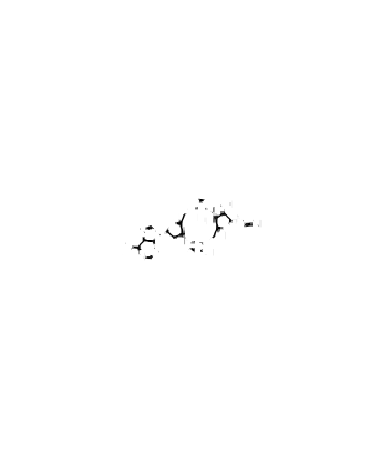 N=CN[C@@H]1O[C@@H]2COP(=O)(S)N[C@H]3C[C@H](N4C=NC5C(N)=NC=NC54)O[C@@H]3CO[PH](=O)N[C@H]2[C@H]1O